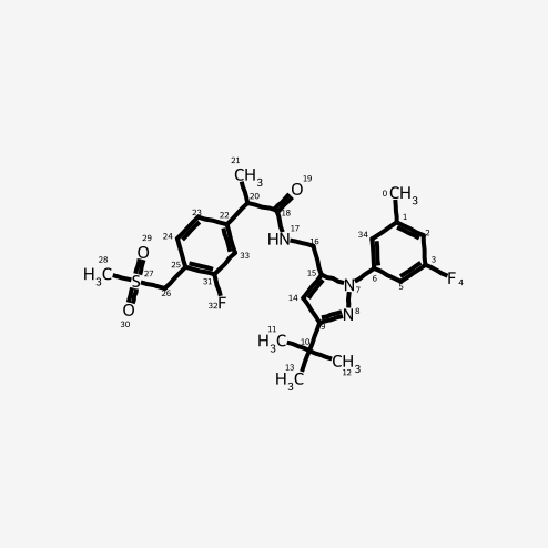 Cc1cc(F)cc(-n2nc(C(C)(C)C)cc2CNC(=O)C(C)c2ccc(CS(C)(=O)=O)c(F)c2)c1